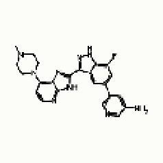 CN1CCN(c2ccnc3[nH]c(-c4n[nH]c5c(F)cc(-c6cncc(N)c6)cc45)nc23)CC1